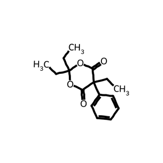 CCC1(CC)OC(=O)C(CC)(c2ccccc2)C(=O)O1